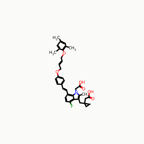 Cc1cc(C)c(OC/C=C/COc2ccc(/C=C/c3ccc(F)c4c(CC5(CC(=O)O)CC5)c(C)n(CC(=O)O)c34)cc2)c(C)c1